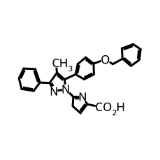 Cc1c(-c2ccccc2)nn(C2=NC(C(=O)O)=CC2)c1-c1ccc(OCc2ccccc2)cc1